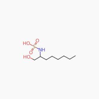 CCCCCCC(CO)NS(=O)(=O)O